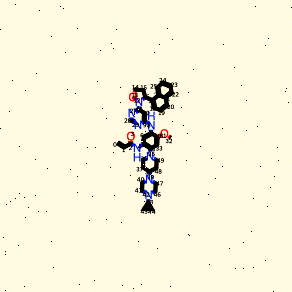 C=CC(=O)Nc1cc(Nc2cc(N3OCCC3c3cccc4ccccc34)ncn2)c(OC)cc1N1CCC(N2CCN(C3CC3)CC2)CC1